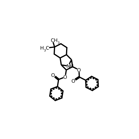 CC1(C)CCC2C(C1)C1NC2C(OC(=O)c2ccccc2)C1OC(=O)c1ccccc1